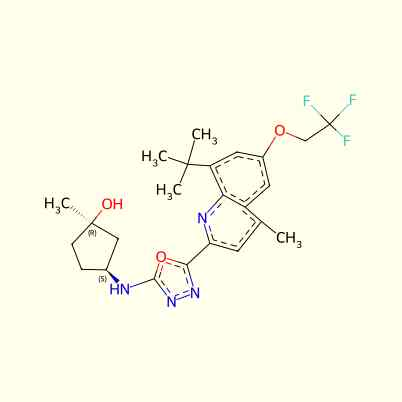 Cc1cc(-c2nnc(N[C@H]3CC[C@@](C)(O)C3)o2)nc2c(C(C)(C)C)cc(OCC(F)(F)F)cc12